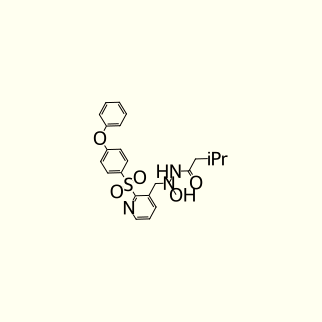 CC(C)CC(=O)NN(O)Cc1cccnc1S(=O)(=O)c1ccc(Oc2ccccc2)cc1